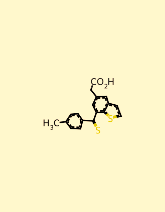 Cc1ccc(C(=S)c2cc(CC(=O)O)cc3ccsc23)cc1